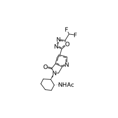 CC(=O)N[C@@H]1CCCC[C@H]1N1Cc2ncc(-c3nnc(C(F)F)o3)cc2C1=O